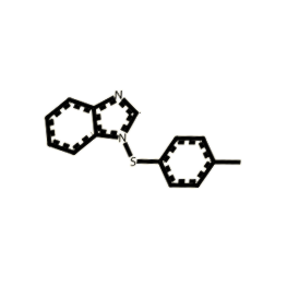 Cc1ccc(Sn2[c]nc3ccccc32)cc1